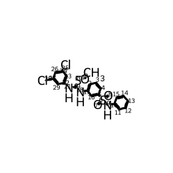 COc1ccc(S(=O)(=O)Nc2ccccc2)cc1NC(=S)Nc1cc(Cl)cc(Cl)c1